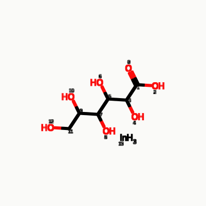 O=C(O)C(O)C(O)C(O)C(O)CO.[InH3]